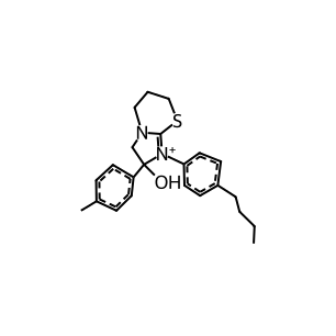 CCCCc1ccc([N+]2=C3SCCCN3CC2(O)c2ccc(C)cc2)cc1